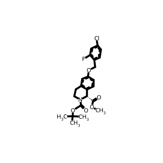 COC(=O)[C@H]1c2ccc(OCc3ccc(Cl)cc3F)cc2CCN1C(=O)OC(C)(C)C